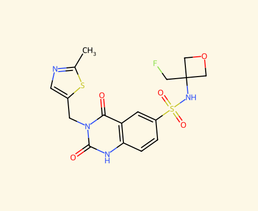 Cc1ncc(Cn2c(=O)[nH]c3ccc(S(=O)(=O)NC4(CF)COC4)cc3c2=O)s1